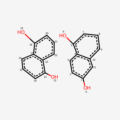 Oc1ccc2c(O)cccc2c1.Oc1cccc2c(O)cccc12